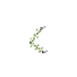 F[B-](F)(F)F.F[B-](F)(F)F.F[B-](F)(F)F.F[B-](F)(F)F.F[B-](F)(F)F.F[B-](F)(F)F.[Ba+2].[Li+].[Tb+3]